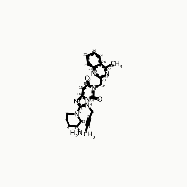 CC#CCn1c(N2CCC[C@@H](N)C2)nc2cc(=O)n(Cc3nc(C)c4ccccc4n3)c(=O)n21